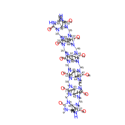 CN1C(=O)N2CN3C(=O)N4CN5C(=O)N6CN7C(=O)N8CN9C(=O)N%10CN%11C(=O)N[C@@H]%12NC(=O)N(CN%13C(=O)N(CN%14C(=O)N(CN%15C(=O)N(CN%16C(=O)N(CN%17C(=O)N[C@H]1[C@@H]%172)[C@H]3[C@@H]%164)[C@H]5[C@@H]%156)[C@H]7[C@@H]%148)[C@H]9[C@@H]%13%10)[C@@H]%12%11